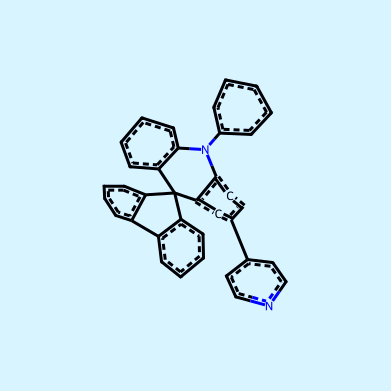 c1ccc(N2c3ccccc3C3(c4ccccc4-c4ccccc43)c3cc(-c4ccncc4)ccc32)cc1